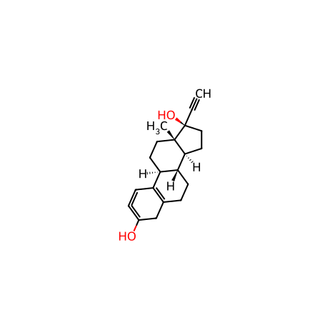 C#C[C@]1(O)CC[C@H]2[C@@H]3CCC4=C(C=C=C(O)C4)[C@H]3CC[C@@]21C